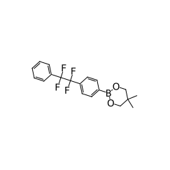 CC1(C)COB(c2ccc(C(F)(F)C(F)(F)c3ccccc3)cc2)OC1